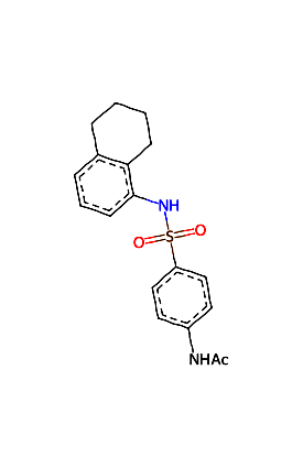 CC(=O)Nc1ccc(S(=O)(=O)Nc2cccc3c2CCCC3)cc1